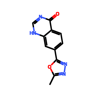 Cc1nnc(-c2ccc3c(=O)nc[nH]c3c2)o1